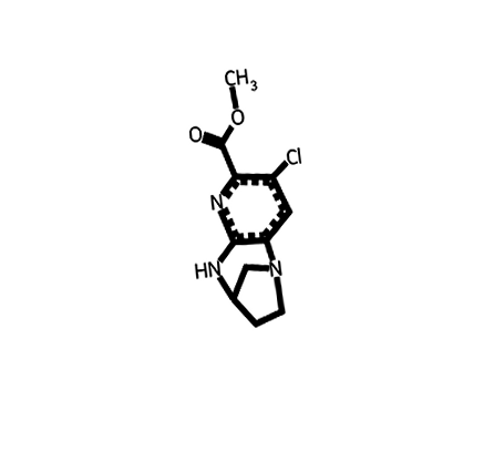 COC(=O)c1nc2c(cc1Cl)N1CCC(C1)N2